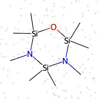 CN1[Si](C)(C)O[Si](C)(C)N(C)[Si]1(C)C